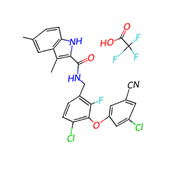 Cc1ccc2[nH]c(C(=O)NCc3ccc(Cl)c(Oc4cc(Cl)cc(C#N)c4)c3F)c(C)c2c1.O=C(O)C(F)(F)F